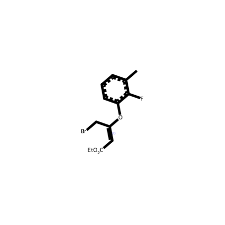 CCOC(=O)/C=C(\CBr)Oc1cccc(C)c1F